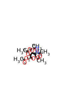 COC1O[C@H](COC(C)=O)C(OC(C)=O)C(OC(C)=O)[C@H]1NC(C)=O